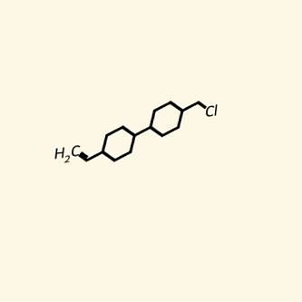 C=CC1CCC(C2CCC(CCl)CC2)CC1